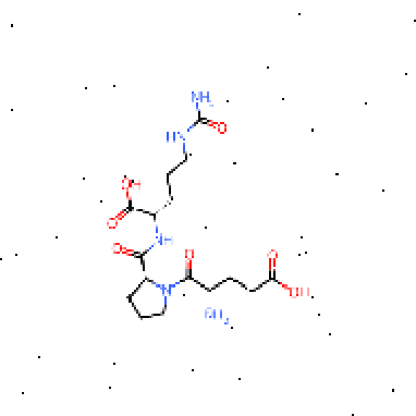 NC(=O)NCCC[C@H](NC(=O)[C@@H]1CCCN1C(=O)[C@@H](N)CCC(=O)O)C(=O)O